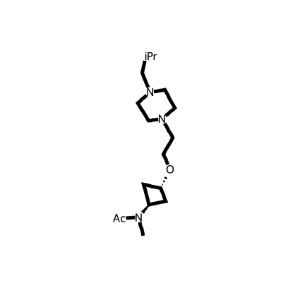 CC(=O)N(C)[C@H]1C[C@H](OCCN2CCN(CC(C)C)CC2)C1